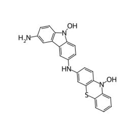 Nc1ccc2c(c1)c1cc(Nc3ccc4c(c3)Sc3ccccc3N4O)ccc1n2O